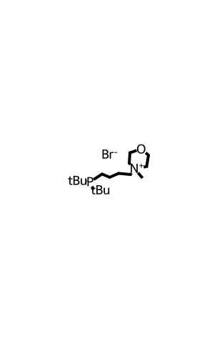 CC(C)(C)P(CCCC[N+]1(C)CCOCC1)C(C)(C)C.[Br-]